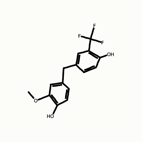 COc1cc(Cc2ccc(O)c(C(F)(F)F)c2)ccc1O